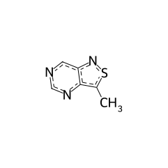 Cc1snc2cncnc12